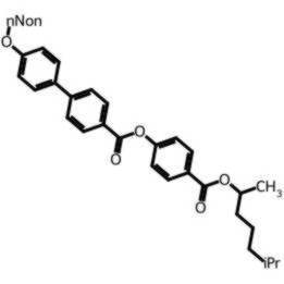 CCCCCCCCCOc1ccc(-c2ccc(C(=O)Oc3ccc(C(=O)OC(C)CCCC(C)C)cc3)cc2)cc1